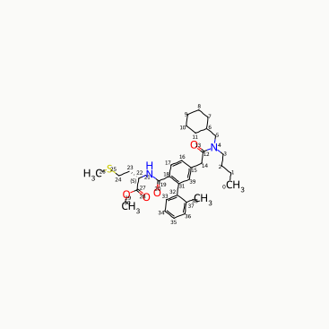 CCCCN(CC1CCCCC1)C(=O)Cc1ccc(C(=O)N[C@@H](CCSC)C(=O)OC)c(-c2ccccc2C)c1